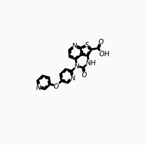 O=C(O)c1sc2nccc3c2c1NC(=O)N3c1ccc(Oc2cccnc2)cn1